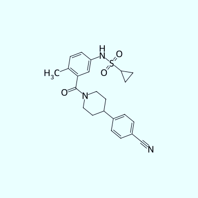 Cc1ccc(NS(=O)(=O)C2CC2)cc1C(=O)N1CCC(c2ccc(C#N)cc2)CC1